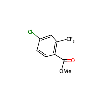 COC(=O)c1ccc(Cl)cc1C(F)(F)F